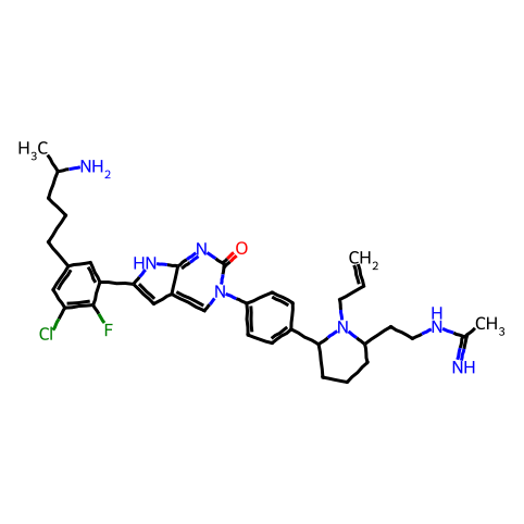 C=CCN1C(CCNC(C)=N)CCCC1c1ccc(-n2cc3cc(-c4cc(CCCC(C)N)cc(Cl)c4F)[nH]c3nc2=O)cc1